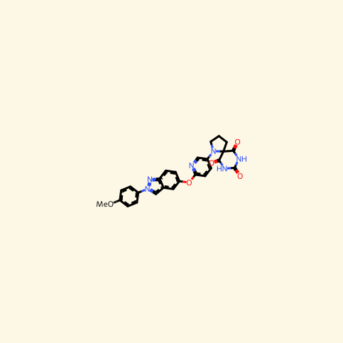 COc1ccc(-n2cc3cc(Oc4ccc(N5CCCC56C(=O)NC(=O)NC6=O)cn4)ccc3n2)cc1